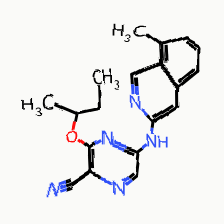 CCC(C)Oc1nc(Nc2cc3cccc(C)c3cn2)cnc1C#N